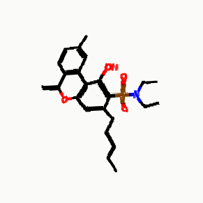 C=C1Oc2cc(CCCCC)c(S(=O)(=O)N(CC)CC)c(O)c2-c2cc(C)ccc21